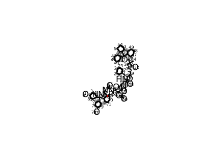 COc1ccc(C(Nc2ccn([C@@H]3OC(COP(=O)(NCc4ccccc4)OCCSC(=O)C(C)(C)COC(c4ccccc4)(c4ccccc4)c4ccccc4)[C@H]4OC(=O)O[C@]43C)c(=O)n2)(c2ccccc2)c2ccc(OC)cc2)cc1